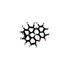 Fc1c(F)c(F)c2c(B(c3c(F)c(F)c(F)c4c(F)c(F)c(F)c(F)c34)c3c(F)c(F)c(F)c4c(F)c(F)c(F)c(F)c34)c(F)c(F)c(F)c2c1F